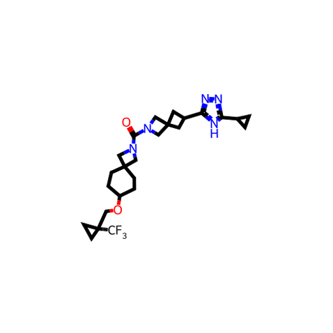 O=C(N1CC2(CCC(OCC3(C(F)(F)F)CC3)CC2)C1)N1CC2(CC(c3nnc(C4CC4)[nH]3)C2)C1